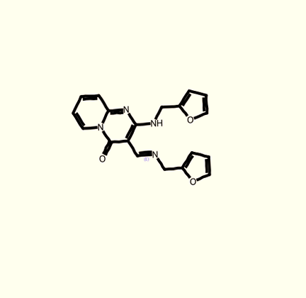 O=c1c(/C=N/Cc2ccco2)c(NCc2ccco2)nc2ccccn12